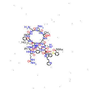 CNC(=O)c1ccccc1Sc1ccc2c(/C=C/c3ccccn3)nn(C(=O)OCc3ccc(NC(=O)[C@H](CCCNC(N)=O)NC(=O)[C@@H](NC(=O)[C@H](CCC(=O)O)NC(=O)CCC(=O)N[C@H](C(=O)N[C@@H](CCN)C(=O)NC4CCNC(=O)[C@H]([C@@H](C)O)NC(=O)[C@H](CCN)NC(=O)[C@H](CCN)NC(=O)[C@H](CC(C)C)NC(=O)[C@@H](Cc5ccccc5)NC(=O)[C@H](CCN)NC4=O)[C@@H](C)O)C(C)C)cc3)c2c1